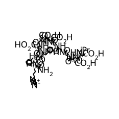 CC(C)N[C@@H](CC(=O)O)C(=O)N[C@@H](CC(=O)O)C(=O)NCC(=O)NCC(=O)NCC(=O)N[C@@H](CC(=O)O)C(=O)N[C@@H](CC(=O)O)C(=O)N[C@@H](CC(=O)O)C(=O)N[C@@H](Cc1ccccc1)C(=O)N[C@@H](Cc1ccccc1)C(=O)N[C@@H](CCCCN=[N+]=[N-])C(N)=O